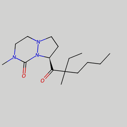 CCCCC(C)(CC)C(=O)[C@@H]1CCN2CCN(C)C(=O)N12